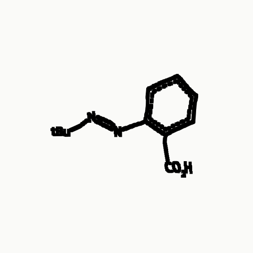 CC(C)(C)N=Nc1ccccc1C(=O)O